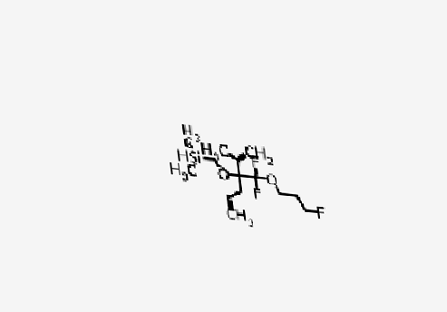 C=CCC(OC[SiH](C)C)(C(=C)C)C(F)(F)OCCCF